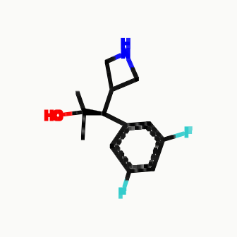 CC(C)(O)[C@H](c1cc(F)cc(F)c1)C1CNC1